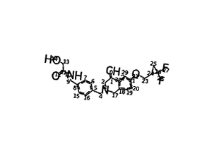 C=C1CN(Cc2ccc(CNC(=O)CO)cc2)Cc2ccc(OCC3CC3(F)F)cc21